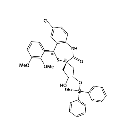 COc1cccc([C@@H]2S[C@@](CCO)(CCO[Si](c3ccccc3)(c3ccccc3)C(C)(C)C)C(=O)Nc3ccc(Cl)cc32)c1OC